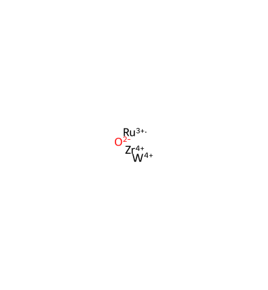 [O-2].[Ru+3].[W+4].[Zr+4]